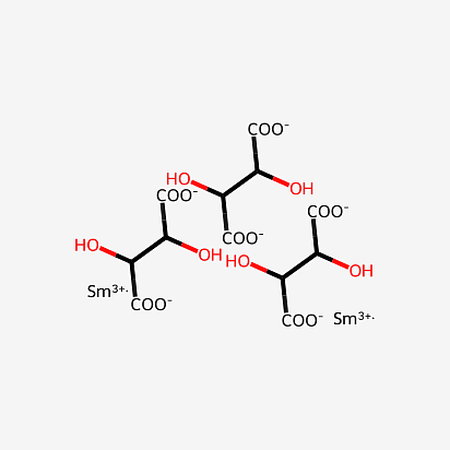 O=C([O-])C(O)C(O)C(=O)[O-].O=C([O-])C(O)C(O)C(=O)[O-].O=C([O-])C(O)C(O)C(=O)[O-].[Sm+3].[Sm+3]